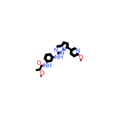 COc1ccc(-c2ccc3cnc(Nc4cccc(NC(=O)C(C)OC)c4)nn23)cn1